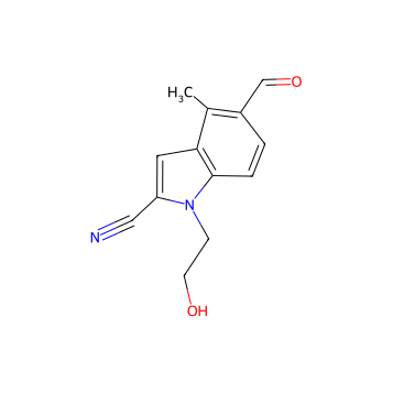 Cc1c(C=O)ccc2c1cc(C#N)n2CCO